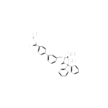 CCOC(=O)c1ccc(-c2cccc(CN3C(=N)NC(c4ccccc4)(c4ccccc4)C3=O)c2)cc1